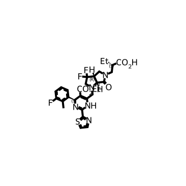 CCOC(=O)C1=C(CN2CC(F)(F)[C@@H]3CN(C[C@H](CC)C(=O)O)C(=O)[C@@H]32)NC(c2nccs2)=N[C@H]1c1cccc(F)c1C